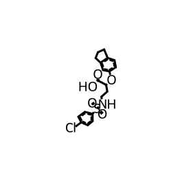 O=C(O)C(CCNS(=O)(=O)c1ccc(Cl)cc1)Oc1ccc2c(c1)CCC2